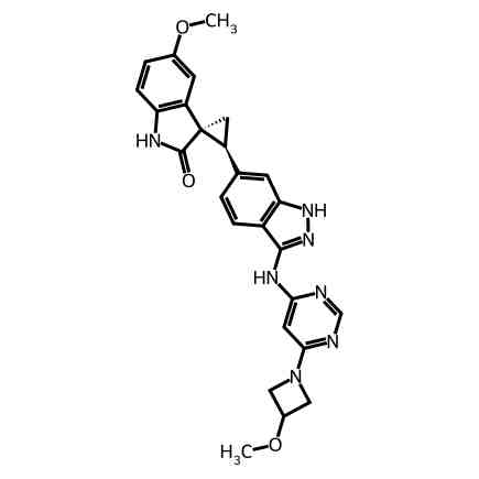 COc1ccc2c(c1)[C@]1(C[C@H]1c1ccc3c(Nc4cc(N5CC(OC)C5)ncn4)n[nH]c3c1)C(=O)N2